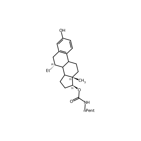 CCCCCNC(=O)O[C@H]1CCC2C3C(CC[C@@]21C)c1ccc(O)cc1C[C@H]3CC